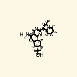 Cc1nc(-c2ncc(C(N)=O)c([C@H]3CC[C@H](C(C)(C)O)CC3)n2)c2ccccn12